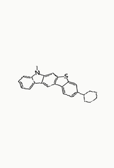 Cn1c2ccccc2c2cc3c(cc21)sc1cc(C2CCCCC2)ccc13